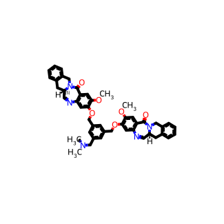 COc1cc2c(cc1OCc1cc(COc3cc4c(cc3OC)C(=O)N3Cc5ccccc5C[C@H]3C=N4)cc(CN(C)C)c1)N=C[C@@H]1Cc3ccccc3CN1C2=O